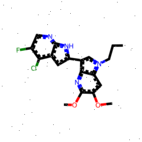 [CH2]CCn1cc(-c2cc3c(Cl)c(F)cnc3[nH]2)c2nc(OC)c(OC)cc21